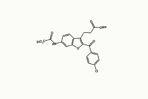 CCOC(=O)C(=O)Nc1ccc2c(CCC(=O)OC)c(C(=O)c3ccc(Cl)cc3)oc2c1